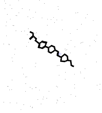 C=C(CC)CCc1ccc(C2CCC(/C=C/C3CCC(CCC)CC3)CC2)cc1